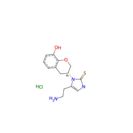 Cl.NCCC1=C[N]C(=S)N1[C@H]1COc2c(O)cccc2C1